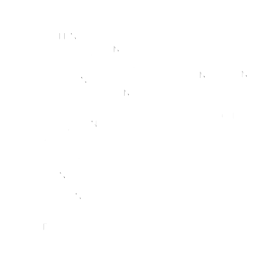 Cc1ncc2ccc(-c3nc(N)nc(NC4(c5ccn(C(F)F)n5)CCCC4)n3)cn12